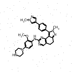 COc1cc(N2CCNCC2)ccc1Nc1ncc2c(n1)-c1c(nn(C)c1-c1ccc(-c3cnn(C)c3)cc1)CC2